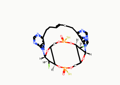 O=[P@@]1(S)OCC2O[C@@H]3[C@H](F)[C@@H]2O[P@](=O)(S)OCC2O[C@H]([C@H](F)[C@@H]2O1)n1cnc2c(ncnc21)CC/C=C/CCc1ncnc2c1ncn23